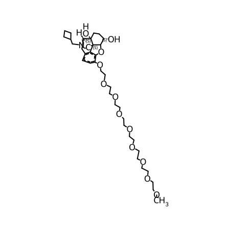 COCCOCCOCCOCCOCCOCCOCCOCCOc1ccc2c3c1OC1[C@@H](O)CC[C@@]4(O)[C@@H](C2)N(CC2CCC2)CC[C@]314